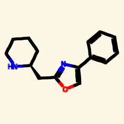 c1ccc(-c2coc(C[C@@H]3CCCCN3)n2)cc1